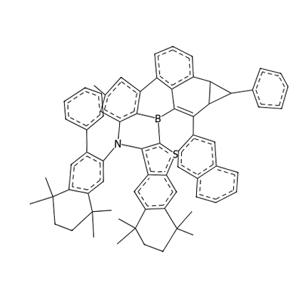 Cc1cc2c3c(c1)N(c1cc4c(cc1-c1ccccc1)C(C)(C)CCC4(C)C)c1c(sc4cc5c(cc14)C(C)(C)CCC5(C)C)B3C1=C(c3ccc4ccccc4c3)C3C(c4ccccc4)C3c3cccc-2c31